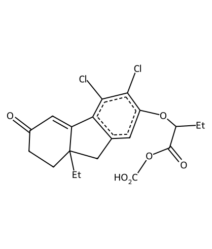 CCC(Oc1cc2c(c(Cl)c1Cl)C1=CC(=O)CCC1(CC)C2)C(=O)OC(=O)O